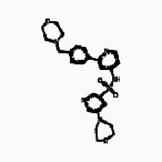 O=S(=O)(Nc1ccnc(-c2ccc(CN3CCOCC3)cc2)c1)c1cncc(N2CCOCC2)c1